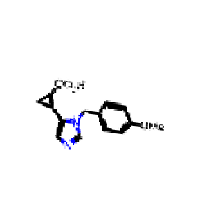 COc1ccc(Cn2cncc2C2CC2C(=O)O)cc1